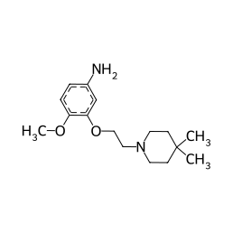 COc1ccc(N)cc1OCCN1CCC(C)(C)CC1